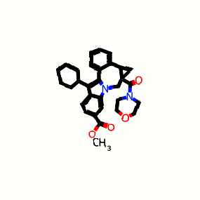 COC(=O)c1ccc2c(C3CCCCC3)c3n(c2c1)CC1(C(=O)N2CCOCC2)CC1c1ccccc1-3